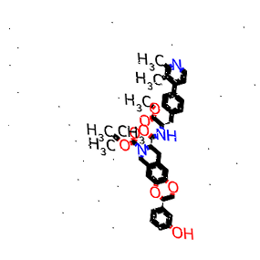 COC(=O)[C@H](Cc1ccc(-c2ccnc(C)c2C)cc1)NC(=O)[C@@H]1Cc2cc3c(cc2CN1C(=O)OC(C)(C)C)O[C@@H](c1cccc(O)c1)CO3